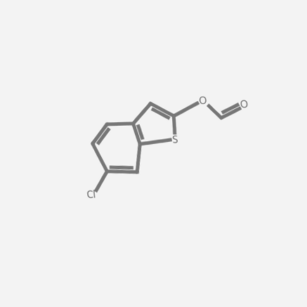 O=COc1cc2ccc(Cl)cc2s1